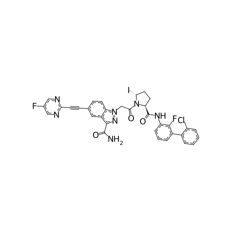 NC(=O)c1nn(CC(=O)N2[C@H](I)CC[C@H]2C(=O)Nc2cccc(-c3ccccc3Cl)c2F)c2ccc(C#Cc3ncc(F)cn3)cc12